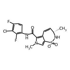 C[C@H]1C=Cc2c(cn(C)c2C(=O)Nc2ccc(F)c(Cl)c2F)S(=O)(=O)N1